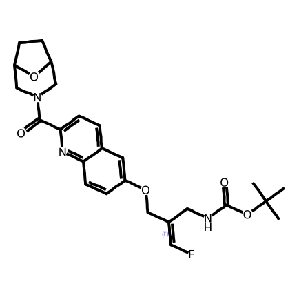 CC(C)(C)OC(=O)NC/C(=C\F)COc1ccc2nc(C(=O)N3CC4CCC(C3)O4)ccc2c1